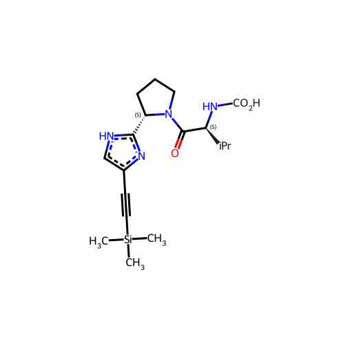 CC(C)[C@H](NC(=O)O)C(=O)N1CCC[C@H]1c1nc(C#C[Si](C)(C)C)c[nH]1